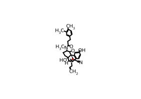 C=CCN1C(C#N)C[C@]23c4c5ccc(O)c4OC2C(N(C)C(=O)CCc2ccc(C)c(C)c2)CC[C@@]3(O)[C@H]1C5